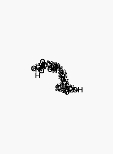 O=C1CC[C@H](N2Cc3c(ccc4c3OC[C@H]3CN(CC5CC6(CCN(c7ccc([C@@H]8c9ccc(O)cc9OC[C@@H]8c8ccccc8)cc7)CC6)C5)CCN43)C2=O)C(=O)N1